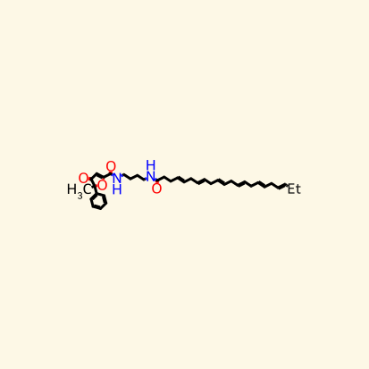 CCC=CCC=CCC=CCC=CCC=CCC=CCCC(=O)NCCCCNC(=O)C1=CC(=O)C(C)(c2ccccc2)O1